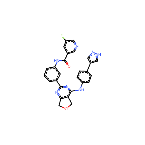 O=C(Nc1cccc(-c2nc3c(c(Nc4ccc(-c5cn[nH]c5)cc4)n2)COC3)c1)c1cncc(F)c1